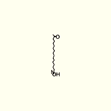 CC(=O)CCCCCCCCCCCCCC=NO